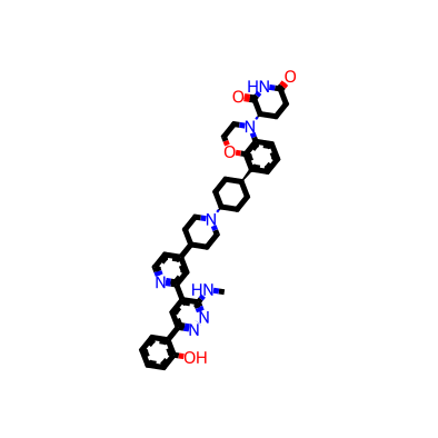 CNc1nnc(-c2ccccc2O)cc1-c1cc(C2CCN([C@H]3CC[C@H](c4cccc5c4OCCN5[C@H]4CCC(=O)NC4=O)CC3)CC2)ccn1